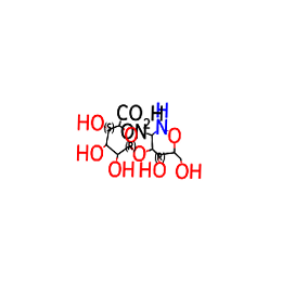 O=NC1NOC(CO)[C@H](O)C1O[C@@H]1OC(C(=O)O)[C@@H](O)C(O)C1O